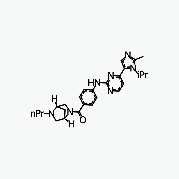 CCCN1C[C@@H]2C[C@H]1CN2C(=O)c1ccc(Nc2nccc(-c3cnc(C)n3C(C)C)n2)cc1